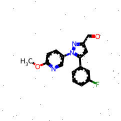 COc1ccc(-n2nc(C=O)cc2-c2cccc(F)c2)cn1